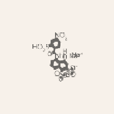 O=C(Nc1cccc2c(S(=O)(=O)[O-])c(S(=O)(=O)[O-])cc(O)c12)c1ccc([N+](=O)[O-])cc1S(=O)(=O)O.[Na+].[Na+]